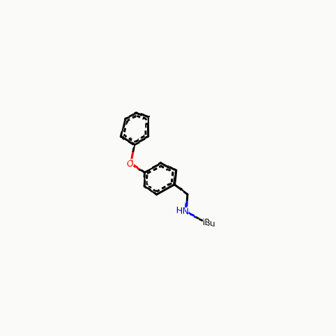 CCC(C)NCc1ccc(Oc2ccccc2)cc1